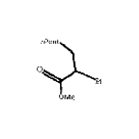 CCCCCCC(CC)C(=O)OC